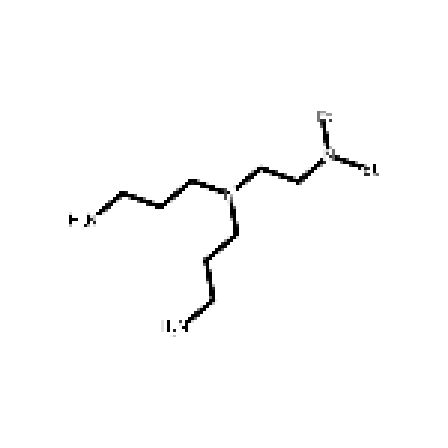 CCN(CC)CCN(CCCN)CCCN